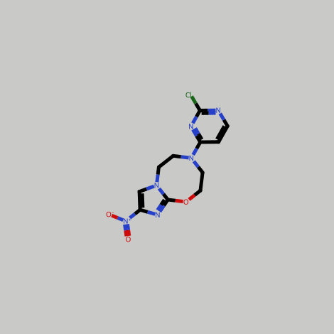 O=[N+]([O-])c1cn2c(n1)OCCN(c1ccnc(Cl)n1)CC2